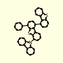 c1ccc(-c2ccc(-c3cccc4sc5ccccc5c34)c3c2sc2c(-n4c5ccccc5c5ccccc54)cccc23)cc1